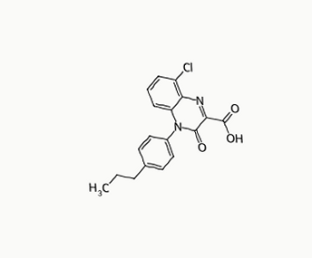 CCCc1ccc(-n2c(=O)c(C(=O)O)nc3c(Cl)cccc32)cc1